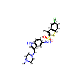 Cc1c(S(=O)(=O)Nc2ccc3[nH]cc(CN4CCN(C)CC4)c3c2)sc2ccc(Cl)cc12